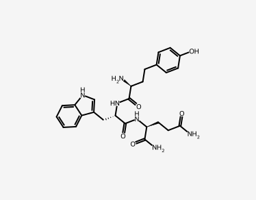 NC(=O)CC[C@H](NC(=O)[C@H](Cc1c[nH]c2ccccc12)NC(=O)[C@@H](N)CCc1ccc(O)cc1)C(N)=O